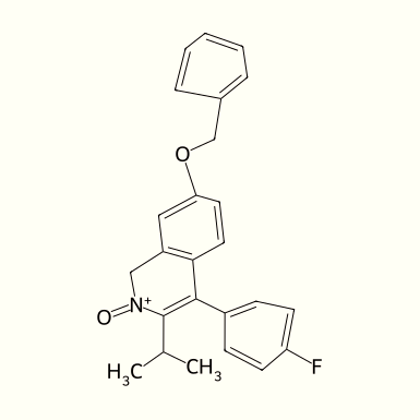 CC(C)C1=C(c2ccc(F)cc2)c2ccc(OCc3ccccc3)cc2C[N+]1=O